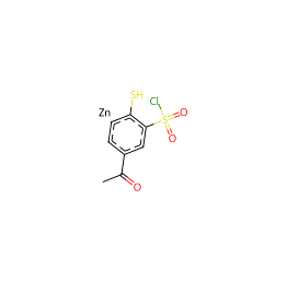 CC(=O)c1ccc(S)c(S(=O)(=O)Cl)c1.[Zn]